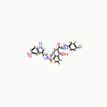 COc1ccc2[nH]cc(CCNS(=O)(=O)c3cc(F)cc4c(O)c(C(=O)NCc5ccc(Cl)cc5)cnc34)c2c1